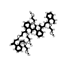 C=C(CCOCCC1=[N+](CCOC)CC(C(CNCCOC)c2ccccc2C(=C)CCC2=[N+](CCOC)CCc3ccccc32)c2ccccc21)c1ccccc1CCNCCOC